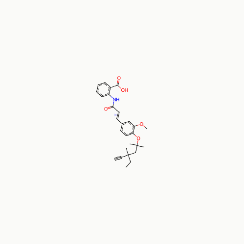 C#CC(C)(CC)CC(C)(C)Oc1ccc(/C=C/C(=O)Nc2ccccc2C(=O)O)cc1OC